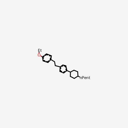 CCCCCC1CCC(c2ccc(CCc3ccc(OCC)cc3)cc2)CC1